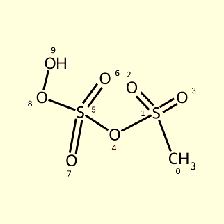 CS(=O)(=O)OS(=O)(=O)OO